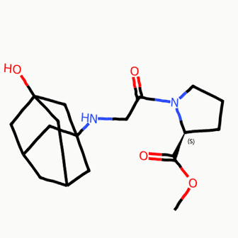 COC(=O)[C@@H]1CCCN1C(=O)CNC12CC3CC(CC(O)(C3)C1)C2